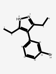 CCc1n[nH]c(CC)c1-c1cccc(Br)c1